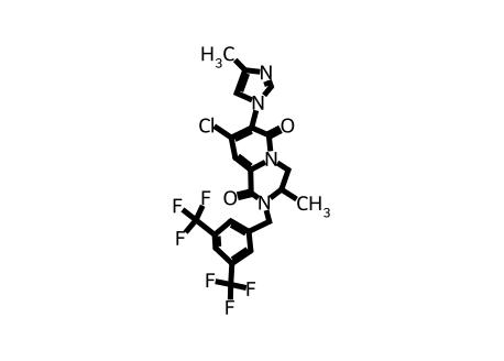 Cc1cn(-c2c(Cl)cc3n(c2=O)CC(C)N(Cc2cc(C(F)(F)F)cc(C(F)(F)F)c2)C3=O)cn1